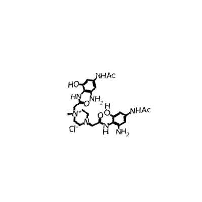 CC(=O)Nc1cc(N)c(NC(=O)CN2CC[N+](C)(CC(=O)Nc3c(N)cc(NC(C)=O)cc3O)CC2)c(O)c1.[Cl-]